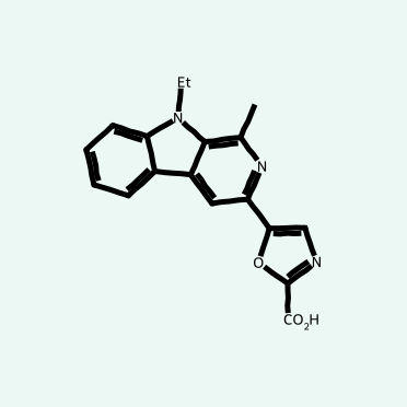 CCn1c2ccccc2c2cc(-c3cnc(C(=O)O)o3)nc(C)c21